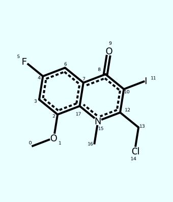 COc1cc(F)cc2c(=O)c(I)c(CCl)n(C)c12